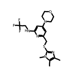 Cc1nc(SCc2cc(N3CCOCC3)cc(NCC(F)(F)F)n2)n(C)c1C